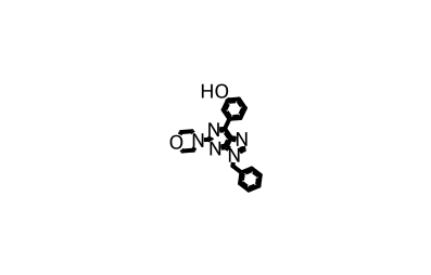 Oc1cccc(-c2nc(N3CCOCC3)nc3c2ncn3Cc2ccccc2)c1